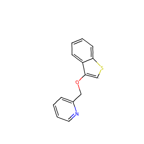 [c]1sc2ccccc2c1OCc1ccccn1